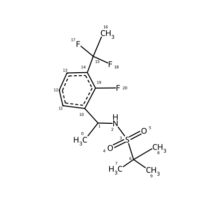 CC(NS(=O)(=O)C(C)(C)C)c1cccc(C(C)(F)F)c1F